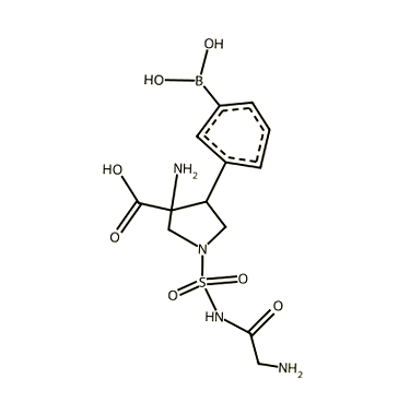 NCC(=O)NS(=O)(=O)N1CC(c2cccc(B(O)O)c2)C(N)(C(=O)O)C1